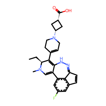 CC[C@H]1C(C2=CCN([C@H]3C[C@@H](C(=O)O)C3)CC2)=C2NN=C3C=Cc4cc(F)cc(c43)C2=CN1C